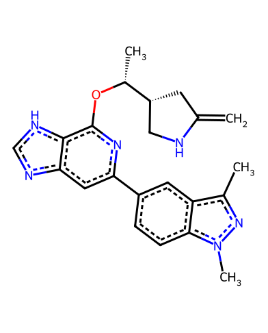 C=C1C[C@@H]([C@@H](C)Oc2nc(-c3ccc4c(c3)c(C)nn4C)cc3nc[nH]c23)CN1